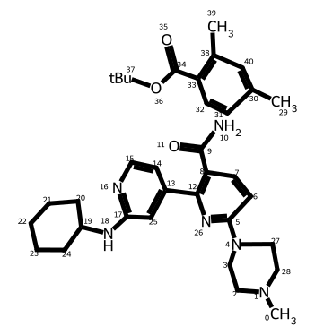 CN1CCN(c2ccc(C(N)=O)c(-c3ccnc(NC4CCCCC4)c3)n2)CC1.Cc1ccc(C(=O)OC(C)(C)C)c(C)c1